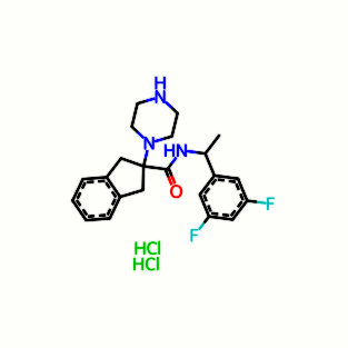 CC(NC(=O)C1(N2CCNCC2)Cc2ccccc2C1)c1cc(F)cc(F)c1.Cl.Cl